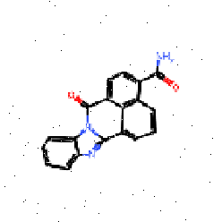 NC(=O)c1ccc2c(=O)n3c4ccccc4nc3c3cccc1c23